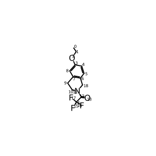 CCOc1ccc2c(c1)CCN(C(=O)C(F)(F)F)C2